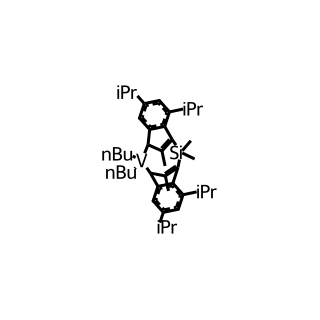 CCC[CH2][V]1([CH2]CCC)[CH]2C(C)=C(c3c(C(C)C)cc(C(C)C)cc32)[Si](C)(C)C2=C(C)[CH]1c1cc(C(C)C)cc(C(C)C)c12